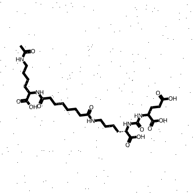 CC(=O)NCCCCC(NC(=O)CCCCCCC(=O)NCCCC[C@H](NC(=O)NC(CCC(=O)O)C(=O)O)C(=O)O)C(=O)O